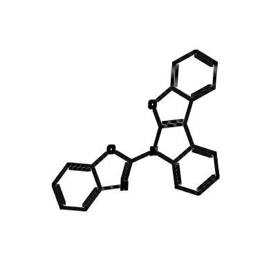 c1ccc2oc(-n3c4ccccc4c4c5ccccc5oc43)nc2c1